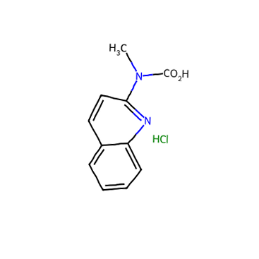 CN(C(=O)O)c1ccc2ccccc2n1.Cl